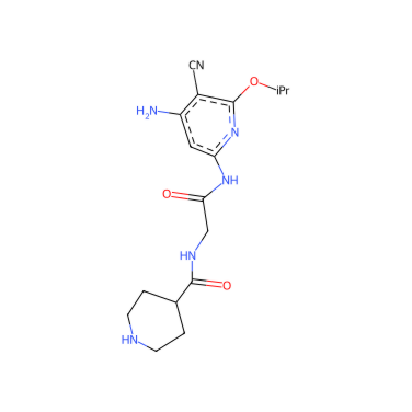 CC(C)Oc1nc(NC(=O)CNC(=O)C2CCNCC2)cc(N)c1C#N